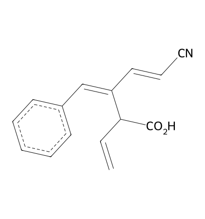 C=CC(C(=O)O)C(C=CC#N)=Cc1ccccc1